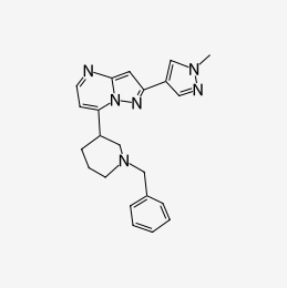 Cn1cc(-c2cc3nccc(C4CCCN(Cc5ccccc5)C4)n3n2)cn1